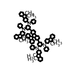 CC1(C)c2ccccc2-c2cc(N(c3ccccc3)c3cc(-c4ccc5c(c4)C4(c6ccccc6-c6ccccc64)c4cc(-c6cc(N(c7ccccc7)c7ccc8c(c7)C(C)(C)c7ccccc7-8)cc(N(c7ccccc7)c7ccc8c(c7)C(C)(C)c7ccccc7-8)c6)ccc4-5)cc(N(c4ccccc4)c4ccc5c(c4)C(C)(C)c4ccccc4-5)c3)ccc21